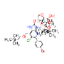 CC(C)(C)[Si](O[C@@H]1[C@@H](C(=O)O)OC[C@H]1Oc1nc2nc(-c3ccc(Br)cc3)c(Cl)c(COCC[Si](C)(C)C)c2[nH]1)(O[Si](C)(C)C)C(C)(C)C